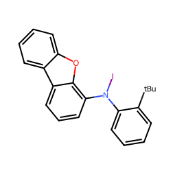 CC(C)(C)c1ccccc1N(I)c1cccc2c1oc1ccccc12